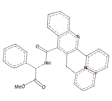 COC(=O)C(NC(=O)c1c(Cc2ccccn2)c(-c2ccccc2)nc2ccccc12)c1ccccc1